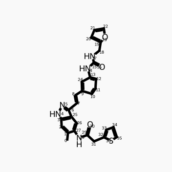 Cc1cc2[nH]nc(/C=C/c3cccc(NC(=O)NCc4ccco4)c3)c2cc1NC(=O)Cc1cccs1